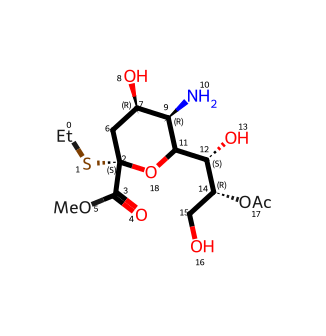 CCS[C@]1(C(=O)OC)C[C@@H](O)[C@@H](N)C([C@H](O)[C@@H](CO)OC(C)=O)O1